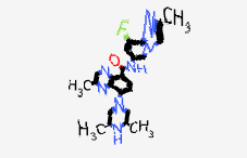 Cc1cnc2c(C(=O)Nc3cc(F)c4nc(C)cn4c3)ccc(N3C[C@@H](C)N[C@H](C)C3)c2n1